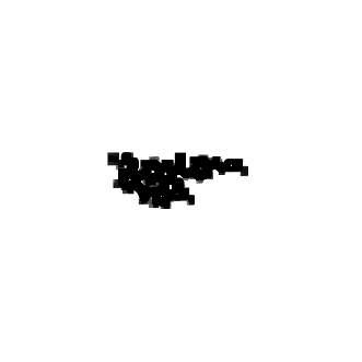 CCSc1ccc(CNc2nc3cnc(-c4c(OC)ncnc4C4CC4)nc3n([C@H]3CCC[C@@H]3C)c2=O)nc1